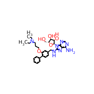 CCN(CC)CCCOc1cc(CNc2nc3c(N)ncnc3n2[C@@H]2O[C@H](CO)[C@@H](O)[C@H]2O)ccc1-c1ccccc1